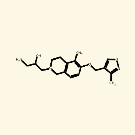 Cc1nocc1COc1ccc2c(c1C)CCN(CC(O)CN)C2